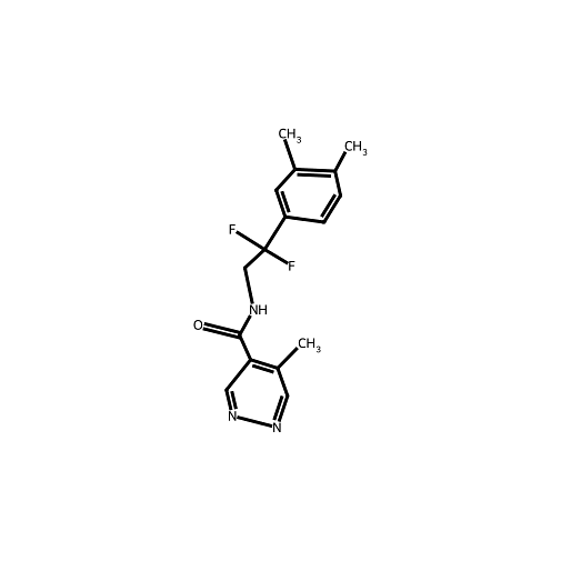 Cc1ccc(C(F)(F)CNC(=O)c2cnncc2C)cc1C